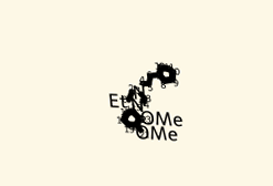 CCC1CN(CCCc2ccccc2)CCN1c1cccc(OC)c1OC